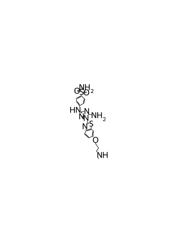 CNCCCOc1ccc2nc(-n3nc(Nc4ccc(S(N)(=O)=O)cc4)nc3N)sc2c1